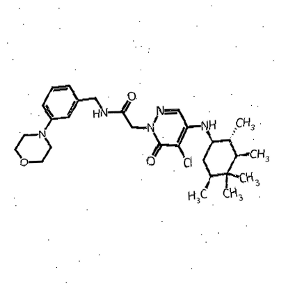 C[C@@H]1[C@@H](C)C(C)(C)[C@@H](C)C[C@H]1Nc1cnn(CC(=O)NCc2cccc(N3CCOCC3)c2)c(=O)c1Cl